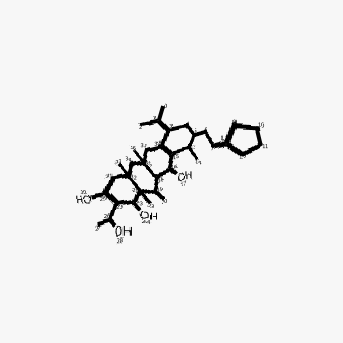 CC(C)C1CC(CCC2CCCC2)C(C)C2C(O)C3C(C)C4(C)C(O)C(C(C)O)C(O)CC4(C)CC3(C)CC12